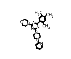 Cc1cc(C)c(-c2nc(N3CCOCC3)nc(N3CCN(c4ccccn4)CC3)n2)cc1C